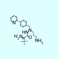 CC(C)(C)[C@@H](N)C(=O)NN(CCCN)Cc1ccc(-c2ccccn2)cc1